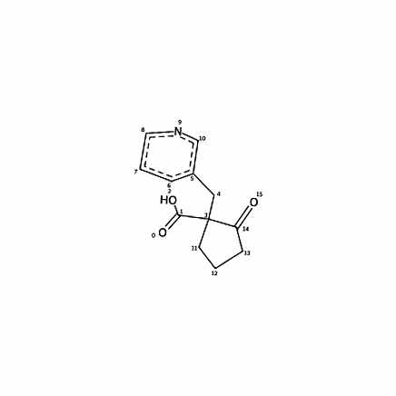 O=C(O)C1(Cc2cccnc2)CCCC1=O